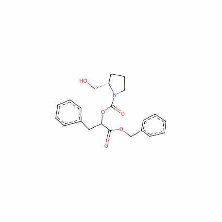 O=C(OCc1ccccc1)C(Cc1ccccc1)OC(=O)N1CCC[C@H]1CO